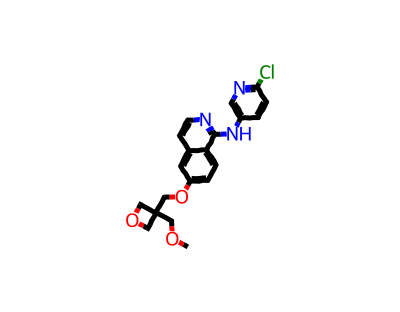 COCC1(COc2ccc3c(Nc4ccc(Cl)nc4)nccc3c2)COC1